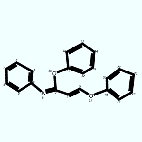 C(=C\C(=N\c1ccccc1)Oc1ccccc1)/Oc1ccccc1